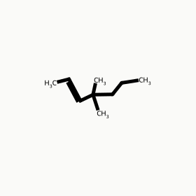 CC=CC(C)(C)[CH]CC